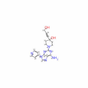 Nc1nc(N2CCC(O)(C#CCO)CC2)nc2c1ncn2-c1ccncc1